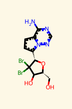 Nc1ncnn2c([C@@H]3O[C@H](CO)C(O)C3(Br)Br)ccc12